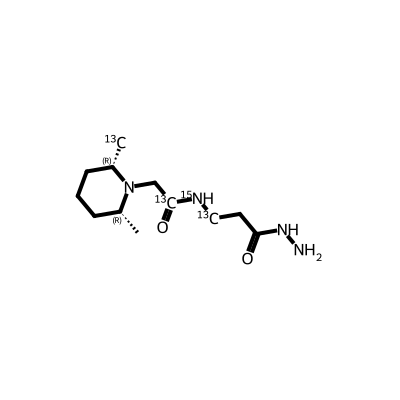 C[C@@H]1CCC[C@H]([13CH3])N1C[13C](=O)[15NH][13CH2]CC(=O)NN